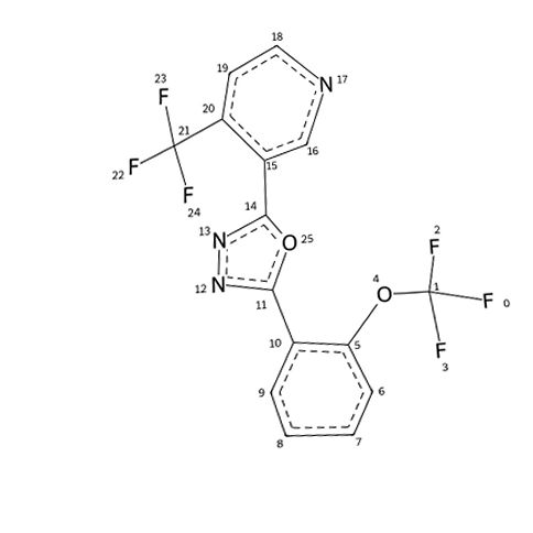 FC(F)(F)Oc1ccccc1-c1nnc(-c2cnccc2C(F)(F)F)o1